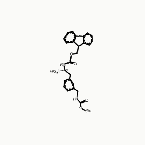 CC(C)(C)OC(=O)NCc1cccc(C[C@@H](NC(=O)OCC2c3ccccc3-c3ccccc32)C(=O)O)c1